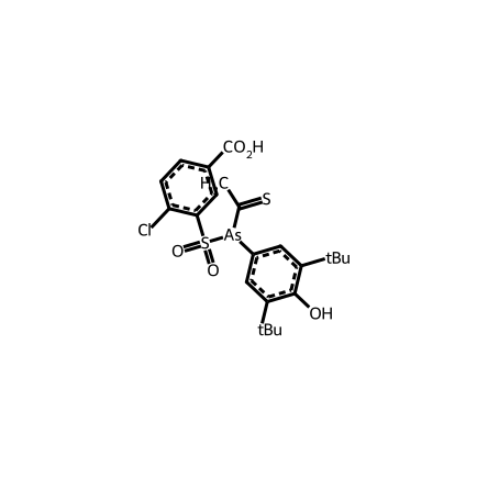 CC(=S)[As](c1cc(C(C)(C)C)c(O)c(C(C)(C)C)c1)S(=O)(=O)c1cc(C(=O)O)ccc1Cl